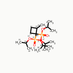 CC(C)OP(=O)(OC(C)C)C1(P(=O)(OC(C)C)OC(C)C)CCC1C